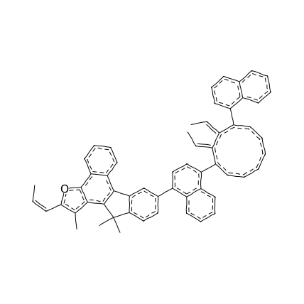 C/C=C\c1oc2c(c1C)c1c(c3ccccc32)-c2cc(-c3ccc(-c4ccccccc(-c5cccc6ccccc56)c(=C/C)/c4=C\C)c4ccccc34)ccc2C1(C)C